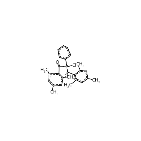 Cc1cc(C)c(C(=O)[P](Cl)(C(=O)c2c(C)cc(C)cc2C)c2ccccc2)c(C)c1